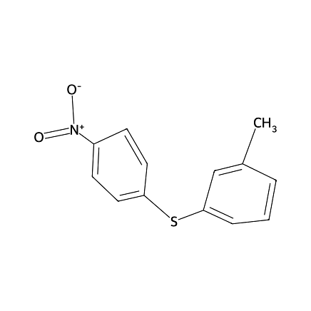 Cc1cccc(Sc2ccc([N+](=O)[O-])cc2)c1